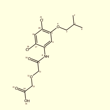 CC(C)COc1cc(NC(=O)COCC(=O)O)c(Cl)cc1Cl